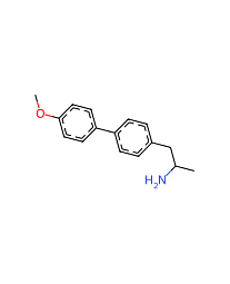 COc1ccc(-c2ccc(CC(C)N)cc2)cc1